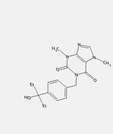 CCC(O)(CC)c1ccc(Cn2c(=O)c3c(ncn3C)n(C)c2=O)cc1